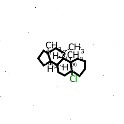 C[C@H]1C[C@]2(C)CCC[C@H]2[C@@H]2CCC3(Cl)CCCC[C@]3(C)[C@H]21